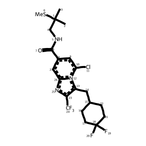 CSC(C)(C)CNC(=O)c1cc(Cl)n2c(CC3CCC(F)(F)CC3)c(C(F)(F)F)nc2c1